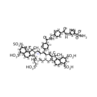 CC1(C)C(=CC=C(/C=C/C2N(CCCS(=O)(=O)O)c3ccc4c(S(=O)(=O)O)cc(S(=O)(=O)O)cc4c3C2(C)C)c2ccc(C(=O)NCc3ccc(C(=O)Nc4nnc(S(N)(=O)=O)s4)cn3)cn2)N(CCCS(=O)(=O)O)c2ccc3c(S(=O)(=O)O)cc(S(=O)(=O)O)cc3c21